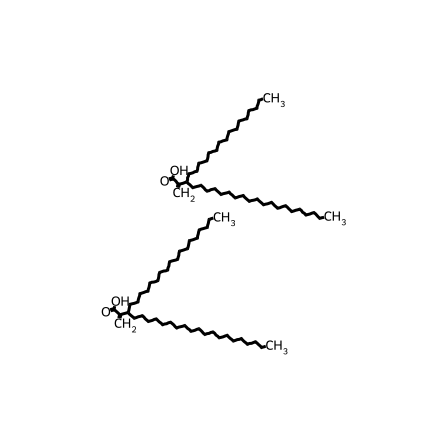 C=C(C(=O)O)C(CCCCCCCCCCCCCCCC)CCCCCCCCCCCCCCCCCCCC.C=C(C(=O)O)C(CCCCCCCCCCCCCCCCCC)CCCCCCCCCCCCCCCCCCCC